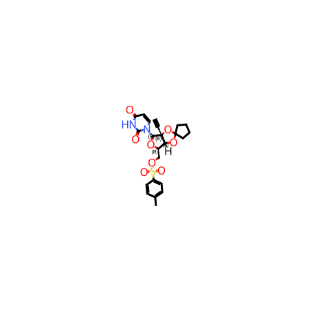 C#C[C@@]12OC3(CCCC3)O[C@@H]1[C@@H](COS(=O)(=O)c1ccc(C)cc1)O[C@H]2n1ccc(=O)[nH]c1=O